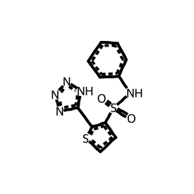 O=S(=O)(Nc1ccccc1)c1ccsc1-c1nnn[nH]1